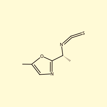 Cc1cnc([C@@H](C)N=C=S)o1